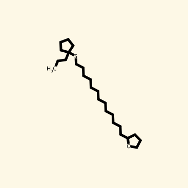 CCCC1(SCCCCCCCCCCCCCC2CCCO2)CCCC1